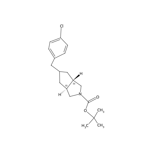 CC(C)(C)OC(=O)N1C[C@H]2CC(Cc3ccc(Cl)cc3)C[C@@H]2C1